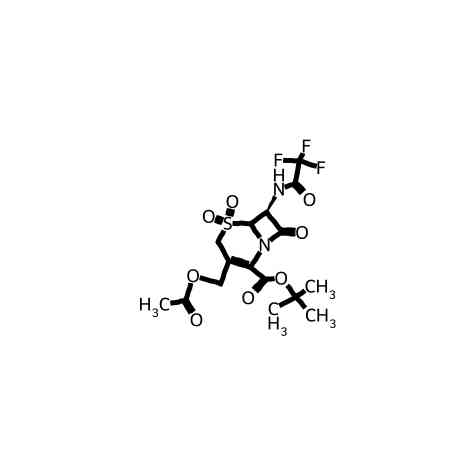 CC(=O)OCC1=C(C(=O)OC(C)(C)C)N2C(=O)[C@H](NC(=O)C(F)(F)F)C2S(=O)(=O)C1